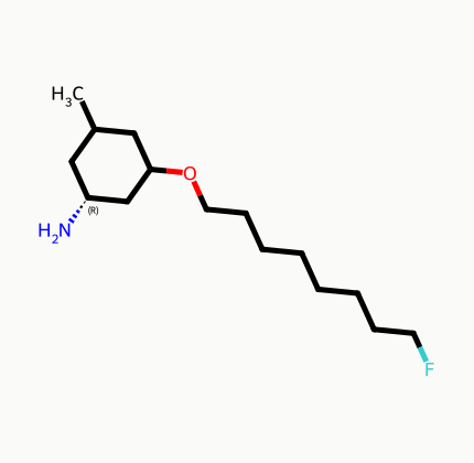 CC1CC(OCCCCCCCCF)C[C@H](N)C1